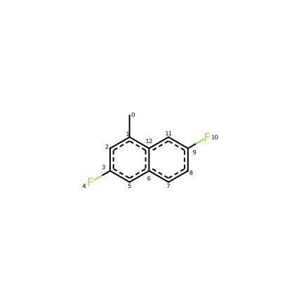 Cc1cc(F)cc2ccc(F)cc12